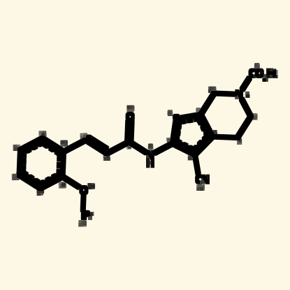 CCOC(=O)N1CCc2c(sc(NC(=O)C=Cc3ccccc3OC(C)C)c2C#N)C1